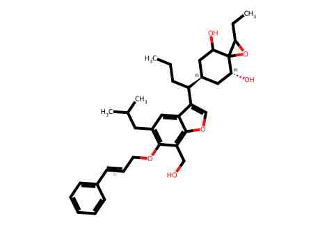 CCCC(c1coc2c(CO)c(OC/C=C/c3ccccc3)c(CC(C)C)cc12)[C@H]1CC(O)C2(OC2CC)[C@H](O)C1